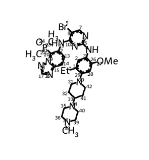 CCc1cc(Nc2ncc(Br)c(Nc3ccc4ncnn4c3P(C)(C)=O)n2)c(OC)cc1N1CCC(N2CCN(C)CC2)CC1